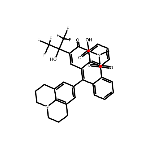 CN(C(=O)O)S(=O)(=O)c1ccccc1/C(=C1/C=C(C(O)(C(F)(F)F)C(F)(F)F)C(=O)c2ccccc21)c1cc2c3c(c1)CCCN3CCC2